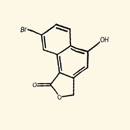 O=C1OCc2cc(O)c3ccc(Br)cc3c21